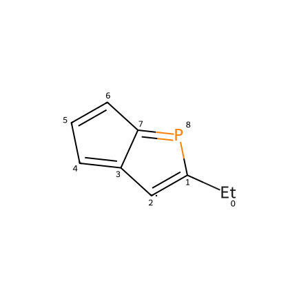 CCC1=[C]C2=CC=CC2=P1